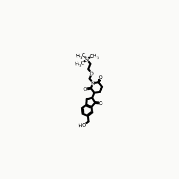 C[Si](C)(C)CCOCN1C(=O)CCC(C2Cc3ccc(CO)cc3C2=O)C1=O